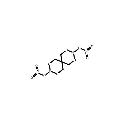 O=[SH](=O)OB1OCC2(CO1)COB(O[SH](=O)=O)OC2